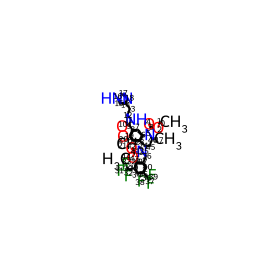 CCOC(=O)N1c2cc(C(=O)NCCc3c[nH]cn3)c(OC)cc2C(N(Cc2cc(C(F)(F)F)cc(C(F)(F)F)c2)C(=O)OC)CC1C